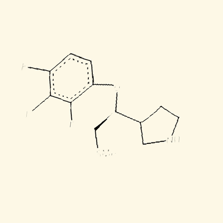 CSC[C@@H](Oc1ccc(F)c(F)c1F)C1CCNC1